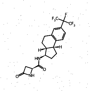 O=C1C[C@@H](C(=O)N[C@@H]2CC[C@H]3c4ccc(C(F)(C(F)(F)F)C(F)(F)F)cc4CC[C@@H]23)N1